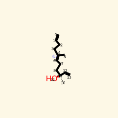 C=CCC/C(C)=C/CC[C@](C)(O)C=C